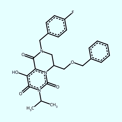 CC(C)n1c(=O)c(O)c2n(c1=O)C(COCc1ccccc1)CN(Cc1ccc(F)cc1)C2=O